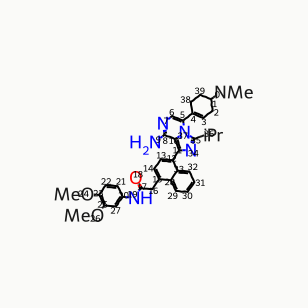 CNC1CC=C(c2cnc(N)c3c(-c4ccc(CC(=O)Nc5ccc(OC)c(OC)c5)c5ccccc45)nc(C(C)C)n23)CC1